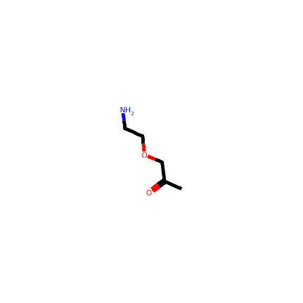 CC(=O)COCCN